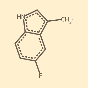 [CH2]c1c[nH]c2ccc(F)cc12